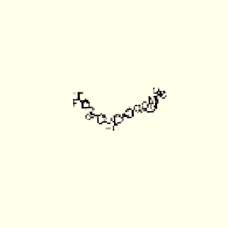 Cl.O=[N+]([O-])c1cn2c(n1)O[C@@H](COc1ccc(N3CCN(Cc4ccc([S+]([O-])Cc5ccc(C(F)(F)F)cc5)cc4)CC3)cc1)CC2